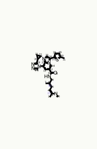 C=N/C(C)=C\C=C(/C)CNC(=O)c1cc(-n2nnnc2C2CC2)c2ncc(-c3ccc(C)s3)n2c1